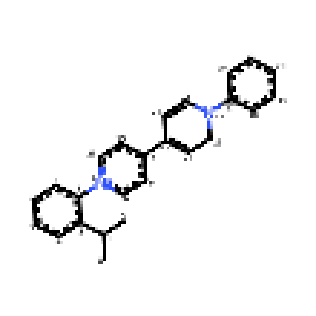 CC(C)c1ccccc1-[n+]1ccc(C2=CCN(c3ccccc3)C=C2)cc1